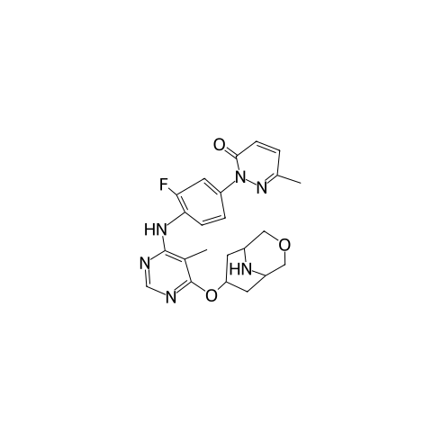 Cc1ccc(=O)n(-c2ccc(Nc3ncnc(OC4CC5COCC(C4)N5)c3C)c(F)c2)n1